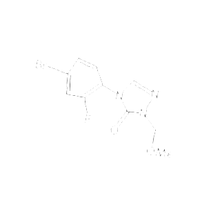 COCn1ncn(-c2ccc(Br)cc2F)c1=O